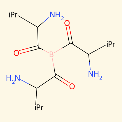 CC(C)C(N)C(=O)B(C(=O)C(N)C(C)C)C(=O)C(N)C(C)C